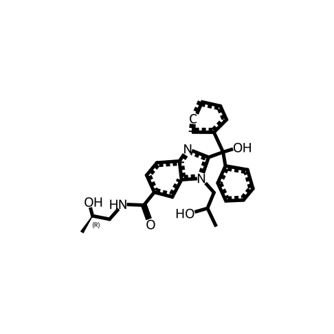 CC(O)Cn1c(C(O)(c2ccccc2)c2ccccc2)nc2ccc(C(=O)NC[C@@H](C)O)cc21